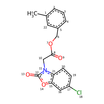 Cc1cccc(COC(=O)Cn2c(=O)oc3cc(Cl)ccc32)c1